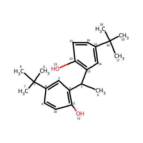 CC(c1cc(C(C)(C)C)ccc1O)c1cc(C(C)(C)C)ccc1O